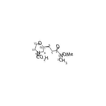 CON(C)C(=O)CC[C@H]1CN(C(=O)O)CCO1